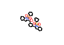 O=C(c1cccc(-c2cc3ccccc3n2S(=O)(=O)c2ccccc2)c1)c1cc2ccccc2n1S(=O)(=O)c1ccccc1